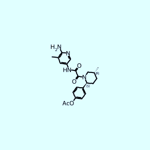 CC(=O)Oc1ccc([C@@H]2CC[C@@H](C)CN2C(=O)C(=O)Nc2cnc(N)c(C)c2)cc1